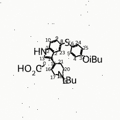 CC(=O)O.CC(C)COc1ccc(Sc2ccc3[nH]cc(C4=CCN(C(C)(C)C)CC4)c3c2)cc1